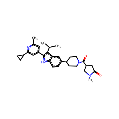 Cc1cc(-c2[nH]c3ccc(C4CCN(C(=O)C5CC(=O)N(C)C5)CC4)cc3c2C(C)C)cc(C2CC2)n1